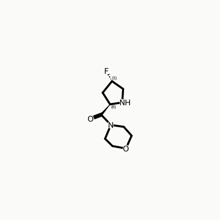 O=C([C@H]1C[C@H](F)CN1)N1CCOCC1